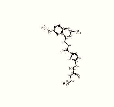 COc1ccc2nc(C)nc(SCC(=O)c3ccc(CNC(=O)CCN)s3)c2c1